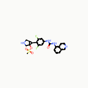 CS(=O)(=O)OC12CNCC1C2c1c(F)cc(NC(=O)Nc2cccc3cnccc23)cc1F